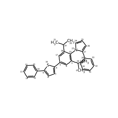 CC(C)c1cc(-c2ccc(-c3ccccc3)s2)cc(C(C)C)c1-n1cccc1-c1ccccc1